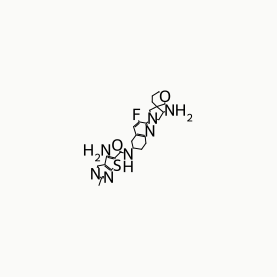 Cc1ncc2c(N)c(C(=O)NC3CCc4nc(N5CC(N)C6(CCCOC6)C5)c(F)cc4C3)sc2n1